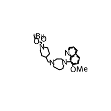 COc1ccc2cccnc2c1N1CCCN(CC2CCN(C(=O)OC(C)(C)C)CC2)CC1